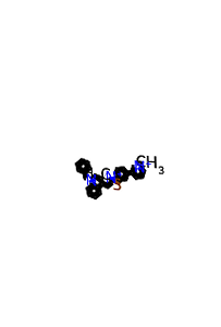 C[n+]1cccc(-c2ccc3c(c2)sc(C=C2C=CN(Cc4ccccc4)c4ccccc42)[n+]3C)c1